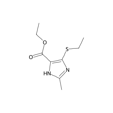 CCOC(=O)c1[nH]c(C)nc1SCC